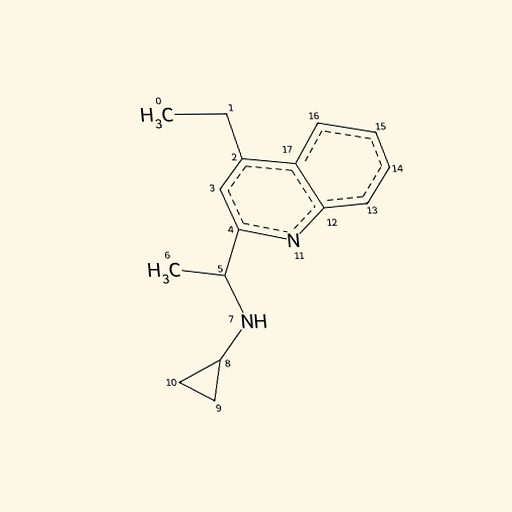 CCc1cc(C(C)NC2CC2)nc2ccccc12